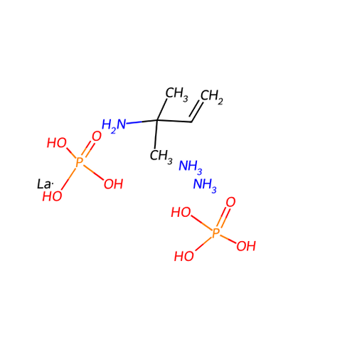 C=CC(C)(C)N.N.N.O=P(O)(O)O.O=P(O)(O)O.[La]